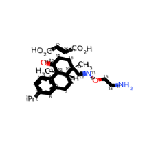 CC(C)c1ccc2c(c1)CC[C@H]1[C@](C)(/C=N/OCCN)CCC(=O)[C@]21C.O=C(O)/C=C/C(=O)O